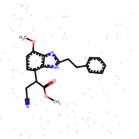 COC(=O)C(CC#N)c1ccc(OC)c2nc(CCc3ccccc3)[nH]c12